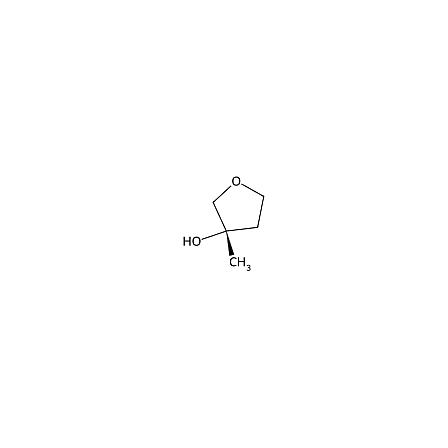 C[C@]1(O)CCOC1